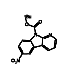 CC(C)(C)OC(=O)n1c2ccc([N+](=O)[O-])cc2c2cccnc21